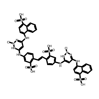 O=S(=O)(O)c1cc(NC2=CC(Nc3ccc(S(=O)(=O)O)c4ccccc34)=NN(Cl)N2)ccc1C=Cc1ccc(NC2=CC(Nc3ccc(S(=O)(=O)O)c4ccccc34)=NN(Cl)N2)cc1S(=O)(=O)O